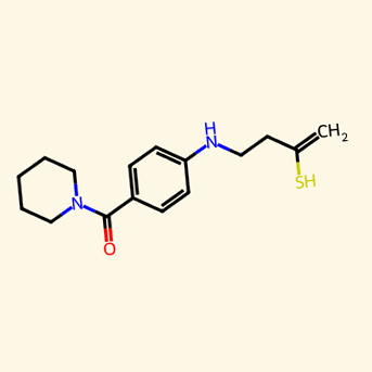 C=C(S)CCNc1ccc(C(=O)N2CCCCC2)cc1